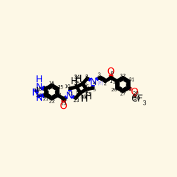 O=C(/C=C/N1C[C@@H]2[C@H](C1)[C@H]1CN(C(=O)c3ccc4[nH]nnc4c3)C[C@@H]21)c1ccc(OC(F)(F)F)cc1